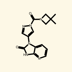 CC1(C)CN(C(=O)n2cc(-n3c(=O)[nH]c4ncccc43)cn2)C1